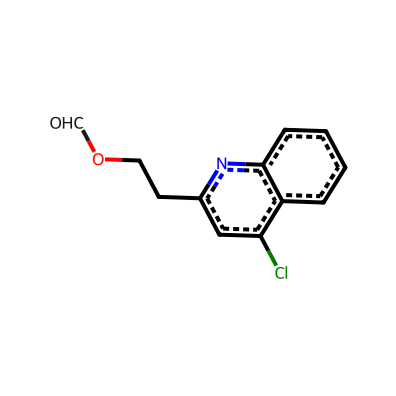 O=COCCc1cc(Cl)c2ccccc2n1